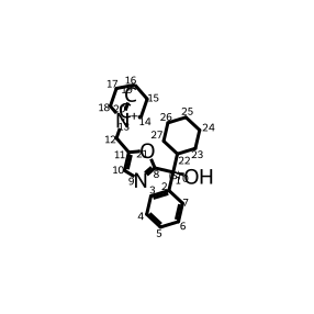 O[C@@](c1ccccc1)(c1ncc(C[N+]23CCC(CC2)CC3)o1)C1CCCCC1